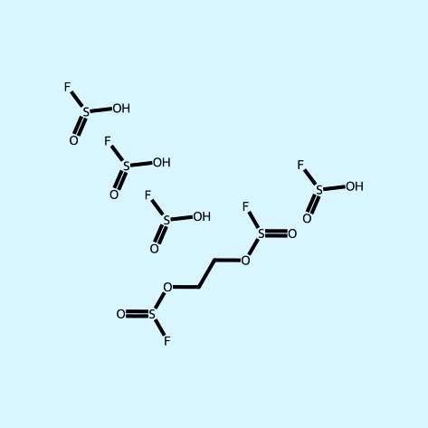 O=S(F)OCCOS(=O)F.O=S(O)F.O=S(O)F.O=S(O)F.O=S(O)F